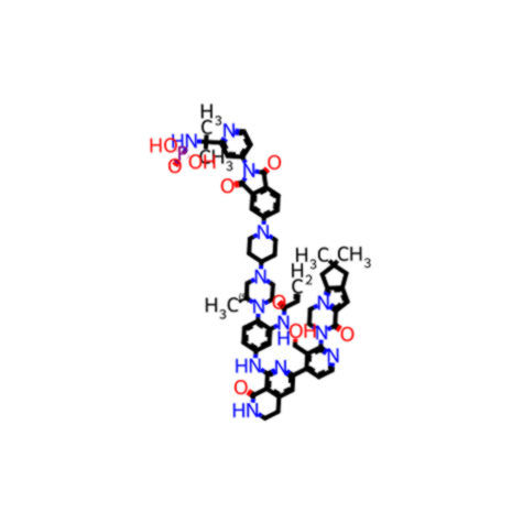 C=CC(=O)Nc1cc(Nc2nc(-c3ccnc(N4CCn5c(cc6c5CC(C)(C)C6)C4=O)c3CO)cc3c2C(=O)NCC3)ccc1N1CCN(C2CCN(c3ccc4c(c3)C(=O)N(c3ccnc(C(C)(C)NP(=O)(O)O)c3)C4=O)CC2)C[C@@H]1C